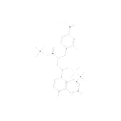 Cc1cc(C(=O)O)ccc1CN(CC(O[Si](C)(C)C(C)(C)C)c1ccc(O)c2[nH]c(=O)ccc12)C(=O)OC(C)(C)C